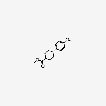 COc1ccc([C@H]2CC[C@H](C(=O)OC)CC2)cc1